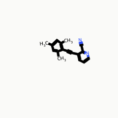 Cc1cc(C)c(C#Cc2cccnc2C#N)c(C)c1